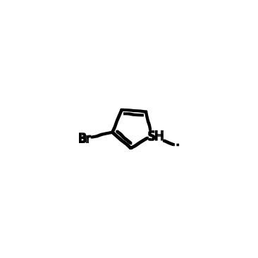 [CH2][SH]1C=CC(Br)=C1